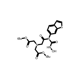 CC(C)(C)OC(=O)CN(CC(=O)OC(C)(C)C)CC(=O)N(C(=O)NO)c1ccc2ccsc2c1